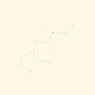 CCNC(=O)c1cnc2nccn2c1